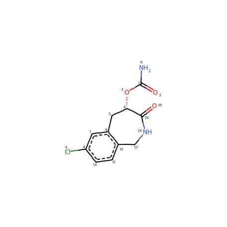 NC(=O)O[C@H]1Cc2cc(Cl)ccc2CNC1=O